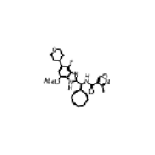 COc1cc(C2CCOCC2)c(F)c2nc(C(NC(=O)c3conc3C)C3CCCCCCC3)[nH]c12